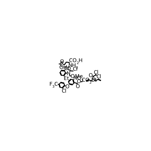 C=CCN(CC=C)C(=O)C(Cl)Cl.CCOC(=O)COC(=O)c1cc(Oc2ccc(C(F)(F)F)cc2Cl)ccc1[N+](=O)[O-].CCc1cccc(CC)c1N(COC)C(=O)CCl.CP(=O)(O)CCC(N)C(=O)O